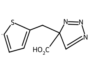 O=C(O)C1(Cc2cc[c]s2)C=NN=N1